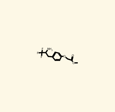 COC(=O)COc1ccc(CC(N)C(F)(F)F)cc1